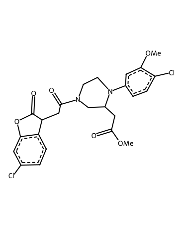 COC(=O)CC1CN(C(=O)CC2C(=O)Oc3cc(Cl)ccc32)CCN1c1ccc(Cl)c(OC)c1